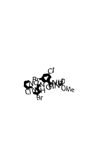 COC(=O)NNC(=O)c1cc(Cl)cc(Br)c1NC(=O)c1cc(Br)cn1-c1ncccc1Cl